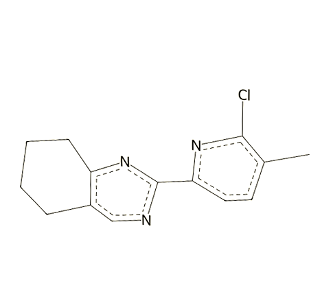 Cc1ccc(-c2ncc3c(n2)CCCC3)nc1Cl